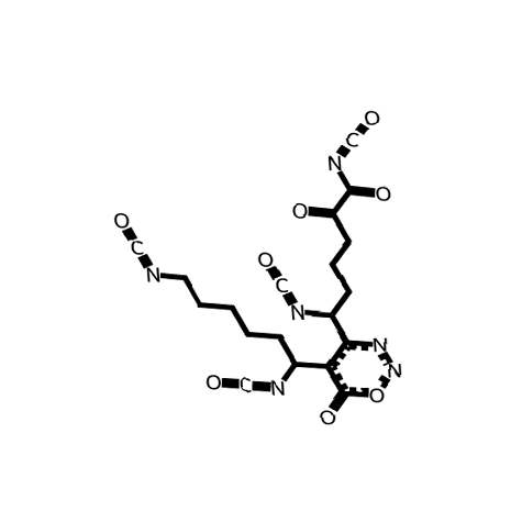 O=C=NCCCCCC(N=C=O)c1c(C(CCCC(=O)C(=O)N=C=O)N=C=O)nnoc1=O